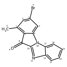 Cc1cc(Br)cc2c1C(=O)c1nc3ccccc3n1-2